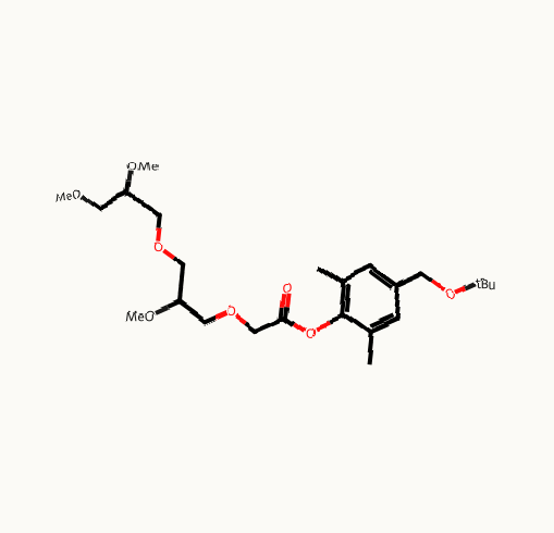 COCC(COCC(COCC(=O)Oc1c(C)cc(COC(C)(C)C)cc1C)OC)OC